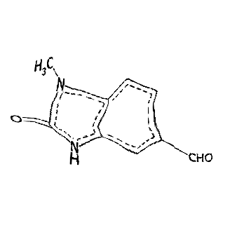 Cn1c(=O)[nH]c2cc(C=O)ccc21